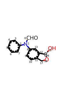 O=CN(c1ccccc1)c1ccc2c(c1)B(O)OC2